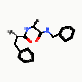 CC[C@H](NC(=O)[C@@H](C)Cc1ccccc1)C(=O)NCc1ccccc1